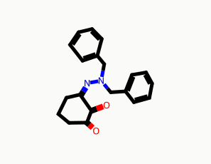 O=C1CCCC(=NN(Cc2ccccc2)Cc2ccccc2)C1=O